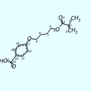 C=C(C)C(=O)OCCCCOc1ccc(C(=O)O)cc1